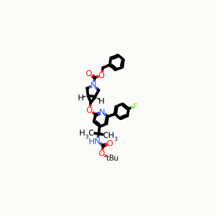 CC(C)(C)OC(=O)NC(C)(C)c1cc(OC2[C@H]3CN(C(=O)OCc4ccccc4)C[C@@H]23)nc(-c2ccc(F)cc2)c1